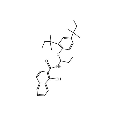 CCC(NC(=O)c1ccc2ccccc2c1O)Oc1ccc(C(C)(C)CC)cc1C(C)(C)CC